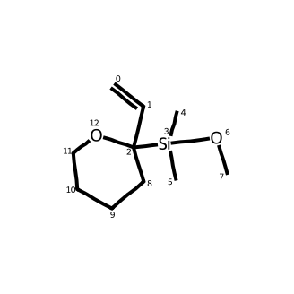 C=CC1([Si](C)(C)OC)CCCCO1